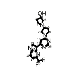 OC1CCN(C2CCN(c3cc(-c4cnc5ccc(C(F)F)nn45)ncn3)C2)C1